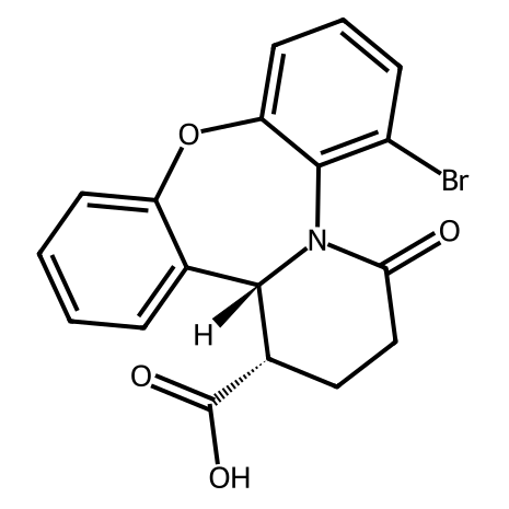 O=C(O)[C@H]1CCC(=O)N2c3c(Br)cccc3Oc3ccccc3[C@@H]12